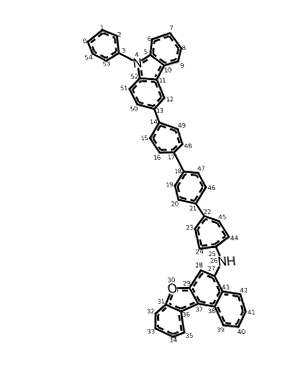 c1ccc(-n2c3ccccc3c3cc(-c4ccc(-c5ccc(-c6ccc(Nc7cc8oc9ccccc9c8c8ccccc78)cc6)cc5)cc4)ccc32)cc1